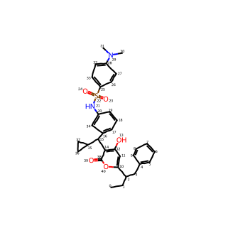 CCC(Cc1ccccc1)c1cc(O)c(C(c2cccc(NS(=O)(=O)c3ccc(N(C)C)cc3)c2)C2CC2)c(=O)o1